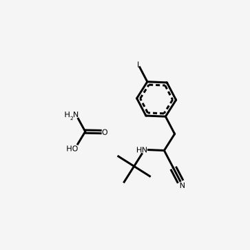 CC(C)(C)NC(C#N)Cc1ccc(I)cc1.NC(=O)O